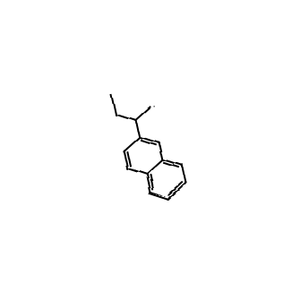 [CH2]C(CC)c1ccc2ccccc2c1